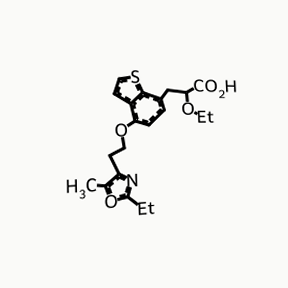 CCOC(Cc1ccc(OCCc2nc(CC)oc2C)c2ccsc12)C(=O)O